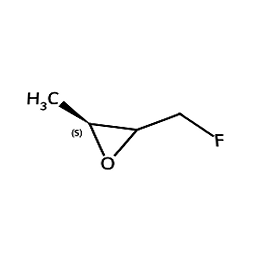 C[C@@H]1OC1CF